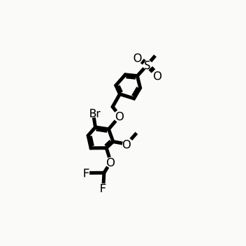 COc1c(OC(F)F)ccc(Br)c1OCc1ccc(S(C)(=O)=O)cc1